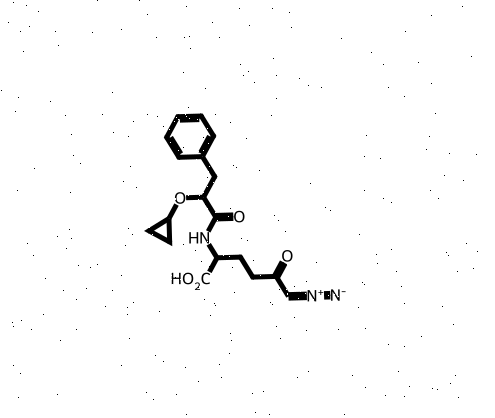 [N-]=[N+]=CC(=O)CCC(NC(=O)C(Cc1ccccc1)OC1CC1)C(=O)O